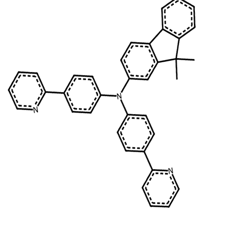 CC1(C)c2ccccc2-c2ccc(N(c3ccc(-c4ccccn4)cc3)c3ccc(-c4ccccn4)cc3)cc21